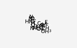 Cc1cc(C(F)F)nn1-c1nc(-n2cnc3cc(Nc4cccnn4)c(F)cc32)ccc1[C@H](C)O